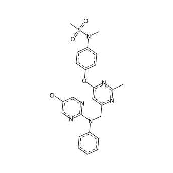 Cc1nc(CN(c2ccccc2)c2ncc(Cl)cn2)cc(Oc2ccc(N(C)S(C)(=O)=O)cc2)n1